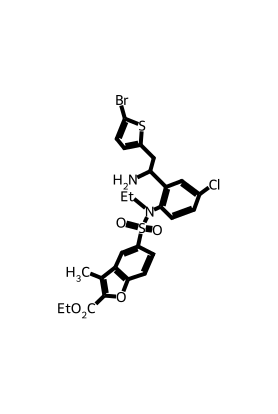 CCOC(=O)c1oc2ccc(S(=O)(=O)N(CC)c3ccc(Cl)cc3C(N)Cc3ccc(Br)s3)cc2c1C